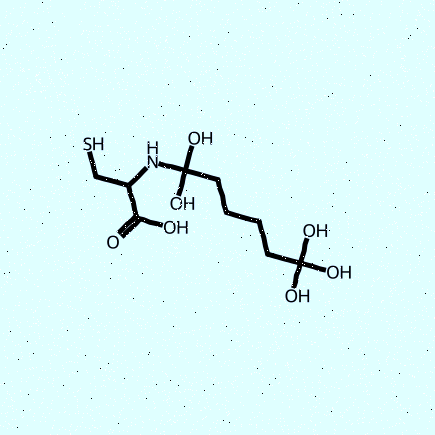 O=C(O)C(CS)NC(O)(O)CCCCC(O)(O)O